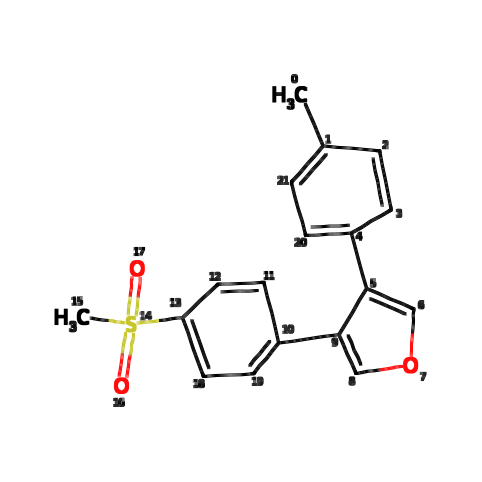 Cc1ccc(-c2cocc2-c2ccc(S(C)(=O)=O)cc2)cc1